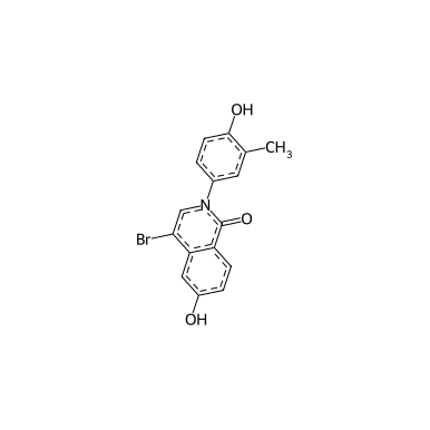 Cc1cc(-n2cc(Br)c3cc(O)ccc3c2=O)ccc1O